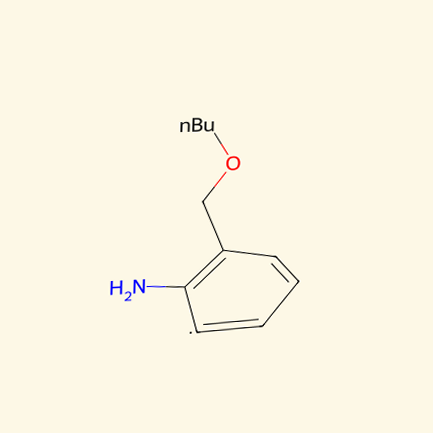 CCCCOCc1ccc[c]c1N